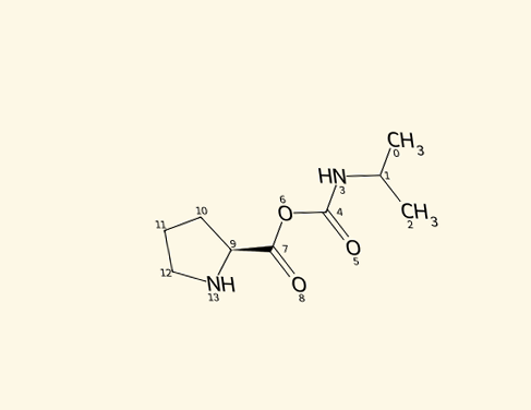 CC(C)NC(=O)OC(=O)[C@@H]1CCCN1